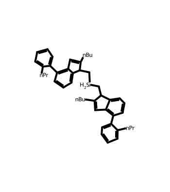 CCCCC1=Cc2c(-c3ccccc3CCC)cccc2C1C[SiH2]CC1C(CCCC)=Cc2c(-c3ccccc3CCC)cccc21